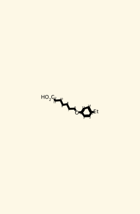 CCc1ccc(OCCCCCCC(=O)O)cc1